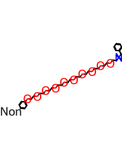 CCCCCCCCCc1ccc(OCCOCCOCCOCCOCCOCCOCCOCCOCCOCC[N+](C)(C)Cc2ccccc2)cc1